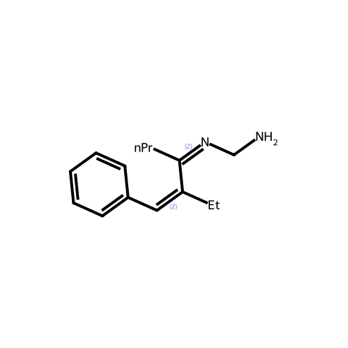 CCCC(=N/CN)/C(=C\c1ccccc1)CC